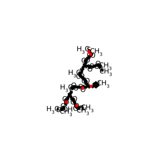 CSCC(C)C(=O)OCCOC(=O)CCN(CCSCC(C)C(=O)OCCOC(=O)CCN(CCCN1CCN(C)CC1)CCC(=O)OCCOC(=O)C(C)CSCCN(CCC(=O)OCCOC(=O)C(C)CSC)CCC(=O)OCCOC(O)C(C)CSC)CCC(=O)OCCOC(=O)C(C)CSC